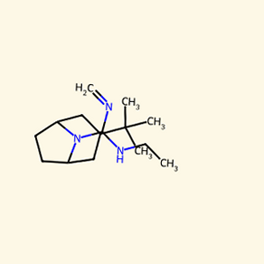 C=NC(NCC)N1C2CCC1CC(C(C)(C)C)C2